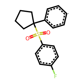 O=S(=O)(c1ccc(F)cc1)C1(c2cc[c]cc2)CCCC1